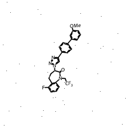 COc1cccc(-c2ccc(-c3cn(C4CCc5c(F)cccc5N(CC(F)(F)F)C4=O)nn3)cc2)c1